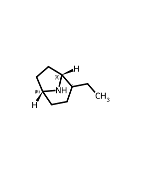 CC[C]1CC[C@@H]2CC[C@H]1N2